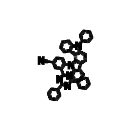 N#Cc1ccc(-n2c3ccccc3c3ccc4c(c5ccccc5n4-c4ccccc4)c32)c(-c2nc(-c3ccccc3)nc(-c3ccccc3)n2)c1